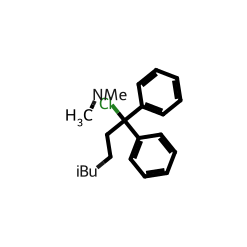 CCC(C)CCC(Cl)(c1ccccc1)c1ccccc1.CNC